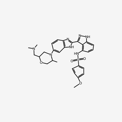 COc1ccc(S(=O)(=O)Nc2cccc3[nH]nc(-c4nc5ccc(N6CC(CN(C)C)OCC6C)cc5[nH]4)c23)cc1